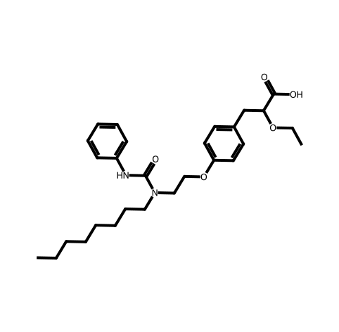 CCCCCCCCN(CCOc1ccc(CC(OCC)C(=O)O)cc1)C(=O)Nc1ccccc1